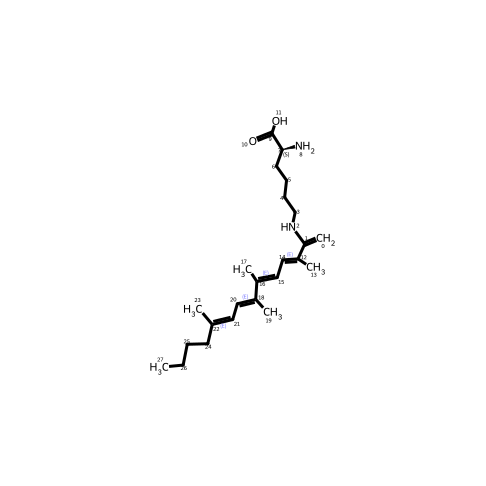 C=C(NCCCC[C@H](N)C(=O)O)/C(C)=C/C=C(C)/C(C)=C/C=C(\C)CCCC